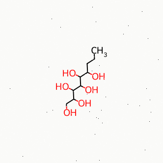 CCCC(O)C(O)C(O)C(O)C(O)CO